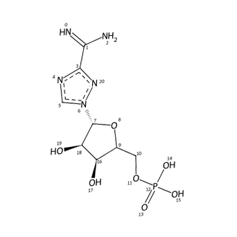 N=C(N)c1ncn([C@@H]2OC(COP(=O)(O)O)[C@@H](O)[C@H]2O)n1